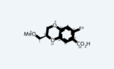 COC[C@H]1COc2cc(F)c(C(=O)O)cc2O1